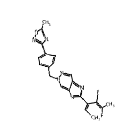 CC=C(C(F)=C(C)F)c1nc2cnn(Cc3ccc(-c4noc(C)n4)cc3)cc-2n1